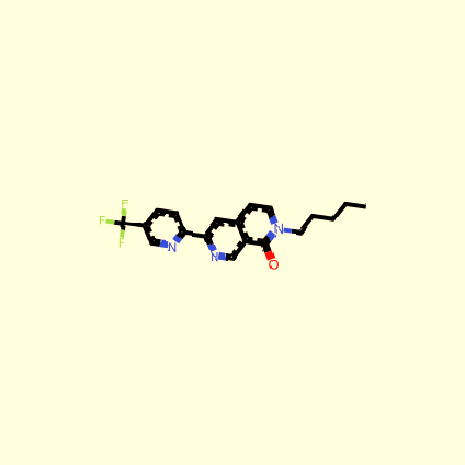 CCCCCn1ccc2cc(-c3ccc(C(F)(F)F)cn3)ncc2c1=O